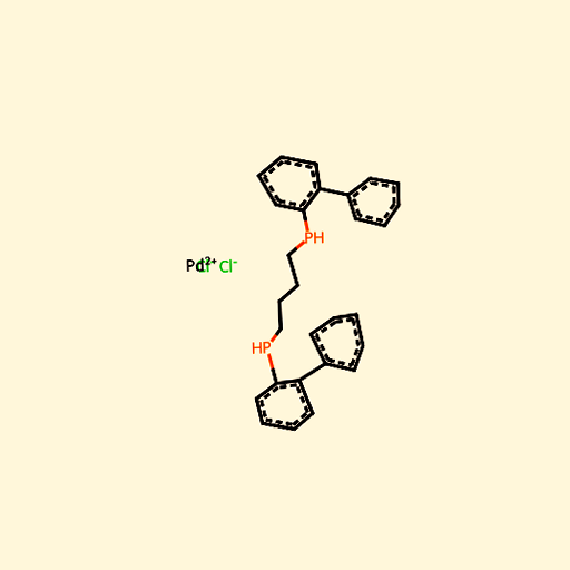 [Cl-].[Cl-].[Pd+2].c1ccc(-c2ccccc2PCCCCPc2ccccc2-c2ccccc2)cc1